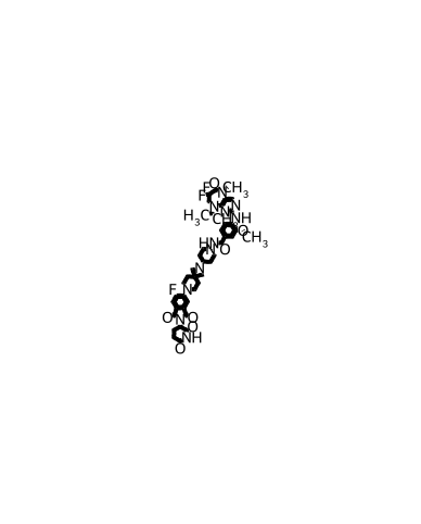 COc1cc(C(=O)NN2CCC(N3CC4(CCN(c5cc6c(cc5F)C(=O)N(C5CCC(=O)NC5=O)C6=O)CC4)C3)CC2)ccc1Nc1ncc2c(n1)N(C(C)C)CC(F)(F)C(=O)N2C